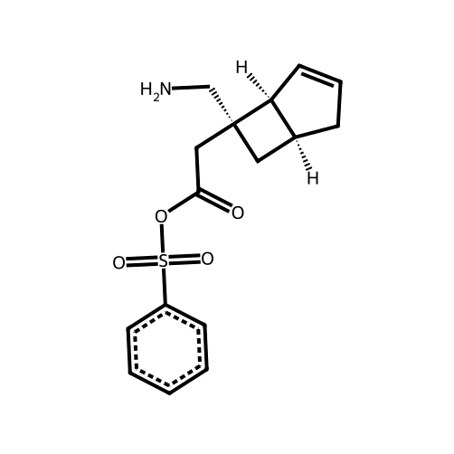 NC[C@@]1(CC(=O)OS(=O)(=O)c2ccccc2)C[C@@H]2CC=C[C@@H]21